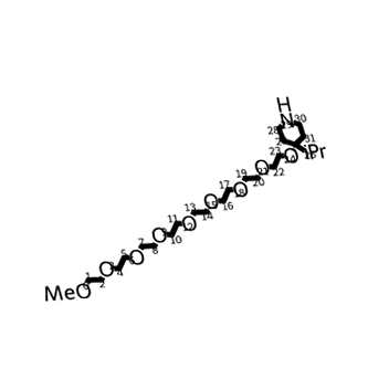 COCCOCCOCCOCCOCCOCCOCCOCCOC1(C(C)C)CCNCC1